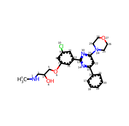 CNCC(O)COc1cc(Cl)cc(-c2nc(-c3ccccc3)cc(N3CCOCC3)n2)c1